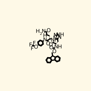 NC(=O)CC[C@H](NC(=O)[C@H](Cc1nn[nH]n1)NC(=O)OCC1c2ccccc2-c2ccccc21)C(=O)Nc1ccc(OC(F)(F)F)cc1